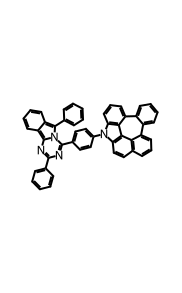 c1ccc(-c2nc(-c3ccc(-n4c5cccc6c5c5c7c(cccc7ccc54)-c4ccccc4-6)cc3)n3c(-c4ccccc4)c4ccccc4c3n2)cc1